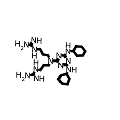 N=C(N)NCCCN(CCCNC(=N)N)c1nc(NC2CCCCC2)nc(NC2CCCCC2)n1